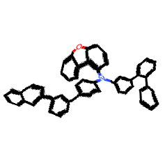 c1ccc(-c2ccccc2-c2cccc(N(c3ccc(-c4cccc(-c5ccc6ccccc6c5)c4)cc3)c3cccc4oc5ccccc5c34)c2)cc1